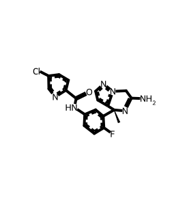 C[C@]1(c2cc(NC(=O)c3ccc(Cl)cn3)ccc2F)N=C(N)Cn2nccc21